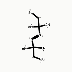 CCCC(C#N)(CC(C)CC)N=NC(C#N)(CCC)CC(C)CC